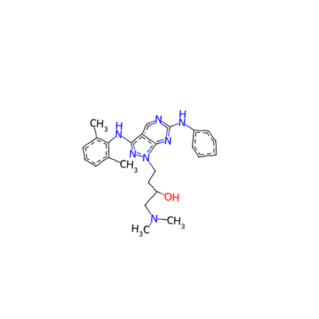 Cc1cccc(C)c1Nc1nn(CCC(O)CN(C)C)c2nc(Nc3ccccc3)ncc12